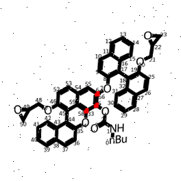 CCCCNC(=O)OC(COc1ccc2ccccc2c1-c1c(OCC2CO2)ccc2ccccc12)COc1ccc2ccccc2c1-c1c(OCC2CO2)ccc2ccccc12